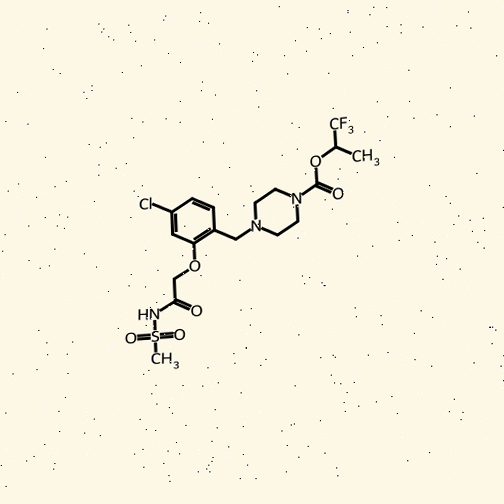 CC(OC(=O)N1CCN(Cc2ccc(Cl)cc2OCC(=O)NS(C)(=O)=O)CC1)C(F)(F)F